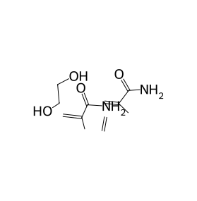 C=C.C=C(C)C(N)=O.C=C(C)C(N)=O.OCCO